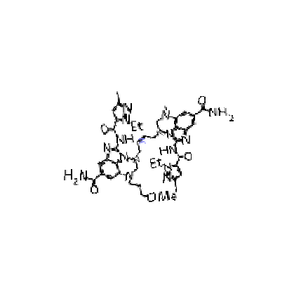 CCn1nc(C)cc1C(=O)Nc1nc2cc(C(N)=O)cc3c2n1[C@@H](C/C=C\C[C@H]1CN(CCCOC)c2cc(C(N)=O)cc4nc(NC(=O)c5cc(C)nn5CC)n1c24)CN3C